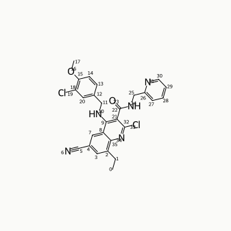 CCc1cc(C#N)cc2c(NCc3ccc(OC)c(Cl)c3)c(C(=O)NCc3ccccn3)c(Cl)nc12